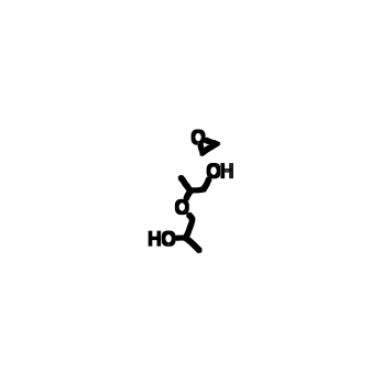 C1CO1.CC(O)COC(C)CO